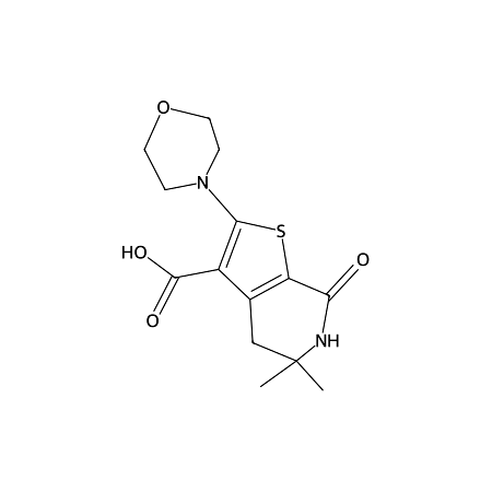 CC1(C)Cc2c(sc(N3CCOCC3)c2C(=O)O)C(=O)N1